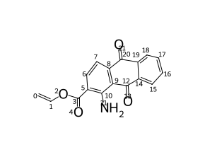 C=COC(=O)c1ccc2c(c1N)C(=O)c1ccccc1C2=O